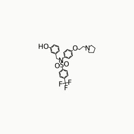 O=S(=O)(c1ccc(C(F)(F)F)cc1)N(Cc1cccc(O)c1)c1ccc(OCCN2CCCC2)cc1